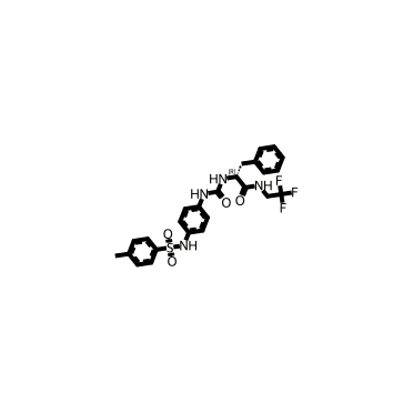 Cc1ccc(S(=O)(=O)Nc2ccc(NC(=O)N[C@H](Cc3ccccc3)C(=O)NCC(F)(F)F)cc2)cc1